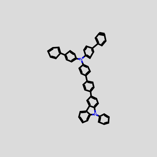 c1ccc(-c2ccc(N(c3ccc(-c4ccccc4)cc3)c3ccc(-c4ccc(-c5ccc6c(c5)c5ccccc5n6-c5ccccc5)cc4)cc3)cc2)cc#1